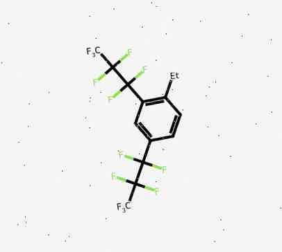 [CH2]Cc1ccc(C(F)(F)C(F)(F)C(F)(F)F)cc1C(F)(F)C(F)(F)C(F)(F)F